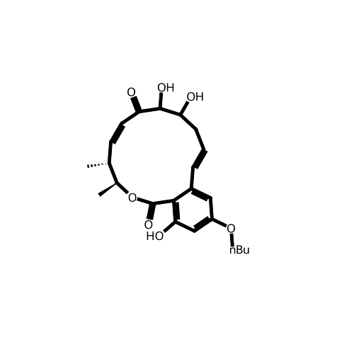 CCCCOc1cc(O)c2c(c1)/C=C/CC(O)C(O)C(=O)/C=C\[C@@H](C)[C@H](C)OC2=O